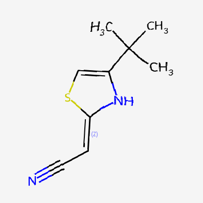 CC(C)(C)C1=CS/C(=C\C#N)N1